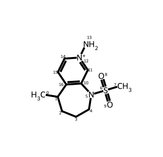 CC1CCCN(S(C)(=O)=O)c2c[n+](N)ccc21